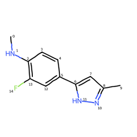 CNc1ccc(-c2cc(C)n[nH]2)cc1F